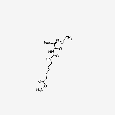 CON=C(C#N)C(=O)NC(=O)NCCCCCC(=O)OC